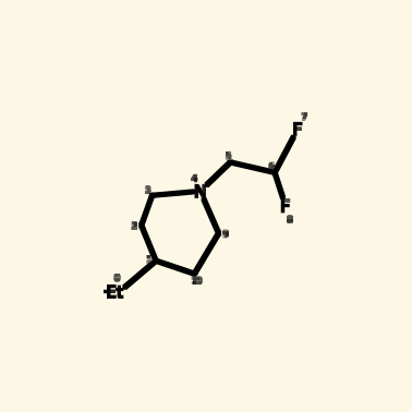 C[CH]C1CCN(CC(F)F)CC1